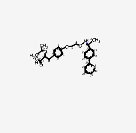 C/C(=N/OCCOc1ccc(CC(OC(C)C)C(=O)O)cc1)c1ccc(-c2ccccn2)cc1